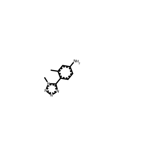 Cc1cc(N)ccc1-c1nnnn1C